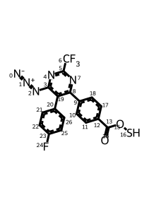 [N-]=[N+]=Nc1nc(C(F)(F)F)nc(-c2ccc(C(=O)OS)cc2)c1-c1ccc(F)cc1